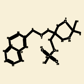 CC1(C)OCC(COCc2ccc3ccccc3c2)(COS(C)(=O)=O)CO1